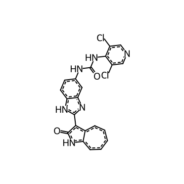 O=C(Nc1ccc2[nH]c(-c3c4cccccc-4[nH]c3=O)nc2c1)Nc1c(Cl)cncc1Cl